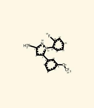 Nc1cc(-c2cccc(OC(F)(F)F)c2)n(-c2ccccc2F)n1